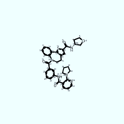 O=C(N[C@@H]1CCOC1)c1cc2c(s1)-c1ccccc1N(C(=O)c1cccc(NC(=O)c3cccnc3N3CCCC3)c1)CC2